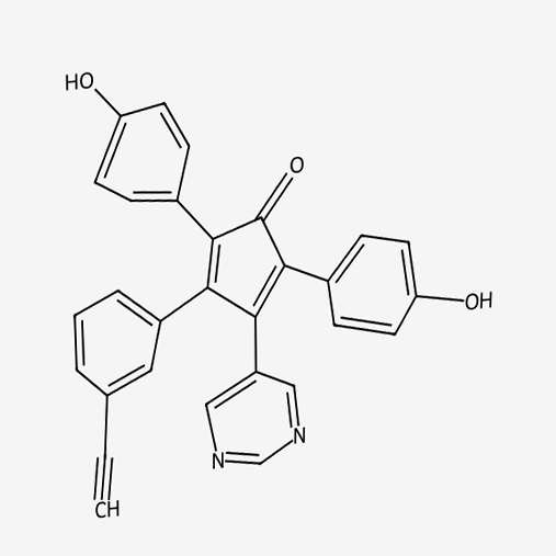 C#Cc1cccc(C2=C(c3ccc(O)cc3)C(=O)C(c3ccc(O)cc3)=C2c2cncnc2)c1